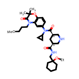 CCOC1(CNC(=O)[C@@H]2CNC[C@H](C(=O)N(c3ccc4c(c3)N(CCCOC)C(=O)C(C)(C)O4)C3CC3)C2)CCCCC1